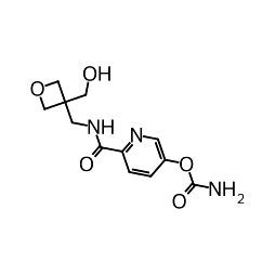 NC(=O)Oc1ccc(C(=O)NCC2(CO)COC2)nc1